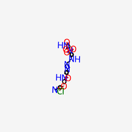 N#Cc1ccc(O[C@H]2CC[C@H](NC(=O)c3ccc(N4CCN(CCCNc5ccc6c(c5)C(=O)N(C5CCC(=O)NC5=O)C6=O)CC4)cc3)CC2)cc1Cl